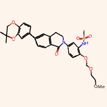 COCCOCOc1ccc(N2CCc3cc(-c4ccc5c(c4)OC(C)(C)CO5)ccc3C2=O)cc1NS(C)(=O)=O